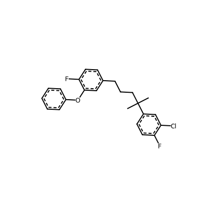 CC(C)(CCCc1ccc(F)c(Oc2ccccc2)c1)c1ccc(F)c(Cl)c1